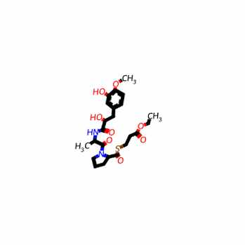 CCOC(=O)CCSC(=O)C1CCCN1C(=O)C(C)NC(=O)C(O)Cc1ccc(OC)c(O)c1